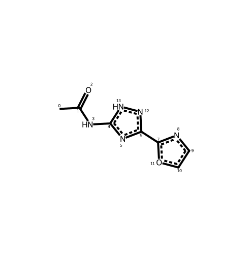 CC(=O)Nc1nc(-c2ncco2)n[nH]1